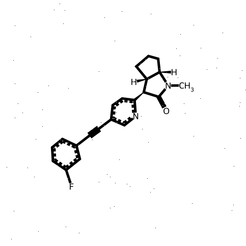 CN1C(=O)[C@@H](c2ccc(C#Cc3cccc(F)c3)cn2)[C@@H]2CCC[C@@H]21